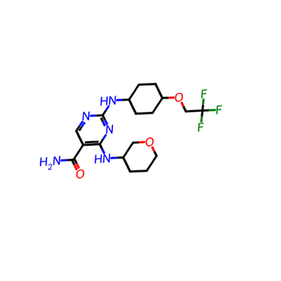 NC(=O)c1cnc(NC2CCC(OCC(F)(F)F)CC2)nc1NC1CCCOC1